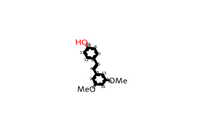 COc1cc(C=Cc2ccc(O)cc2)cc(OC)c1